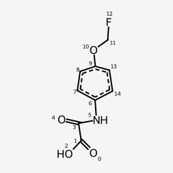 O=C(O)C(=O)Nc1ccc(OCF)cc1